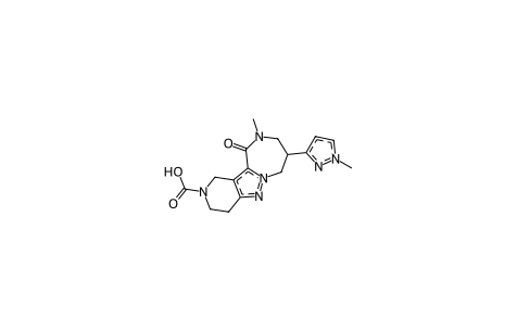 CN1CC(c2ccn(C)n2)Cn2nc3c(c2C1=O)CN(C(=O)O)CC3